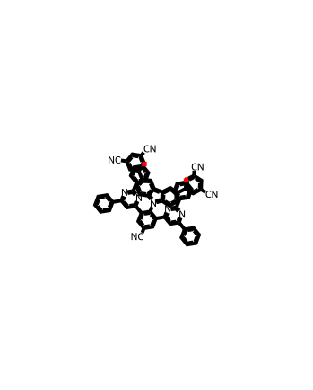 N#Cc1cc(C#N)cc(-c2ccc3c(c2)c2cc(-c4cc(C#N)cc(C#N)c4)ccc2n3-c2c(-c3cc(-c4ccccc4)nc(-c4ccccc4)n3)cc(C#N)cc2-c2cc(-c3ccccc3)nc(-c3ccccc3)n2)c1